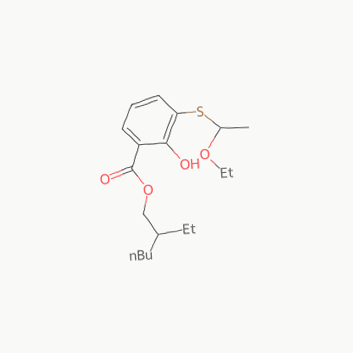 CCCCC(CC)COC(=O)c1cccc(SC(C)OCC)c1O